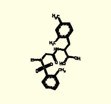 CCN(CC(=O)NC(Cc1ccc(C)cc1C)B(O)O)S(=O)(=O)c1ccccc1C